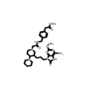 CCCCOc1nc(N)c2[nH]c(=O)n(CCCC3CN(CC(=O)NCc4ccc(CC(=O)OC)cc4)CCC3N3CCCCC3)c2n1